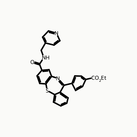 CCOC(=O)c1ccc(C2=Nc3cc(C(=O)NCc4ccncc4)ccc3Sc3ccccc32)cc1